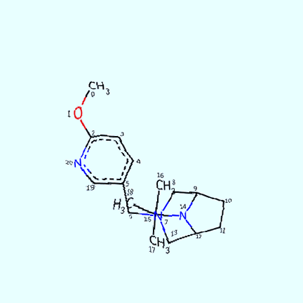 COc1ccc(CN2CC3CCC(C2)N3C(C)(C)C)cn1